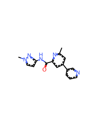 Cc1cc(-c2cccnc2)cc(C(=O)Nc2ccn(C)n2)n1